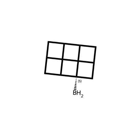 B[C@]12CC3CC4C5CC6CC1C65C342